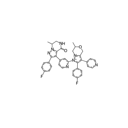 CC1Cn2c(c(-c3ccncc3)c(-c3ccc(F)cc3)[n+]2-c2cc(-c3c(-c4ccc(F)cc4)nn4c3C(=O)NCC4C)ccn2)CO1